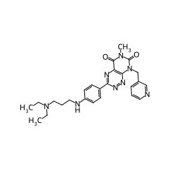 CCN(CC)CCCNc1ccc(-c2nnc3c(n2)c(=O)n(C)c(=O)n3Cc2cccnc2)cc1